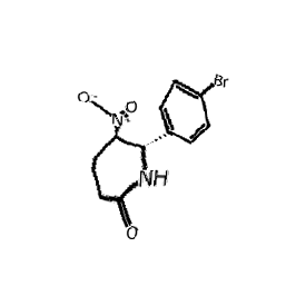 O=C1CC[C@@H]([N+](=O)[O-])[C@H](c2ccc(Br)cc2)N1